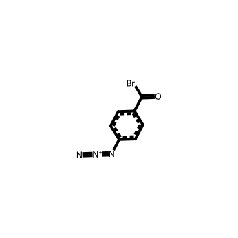 [N-]=[N+]=Nc1ccc(C(=O)Br)cc1